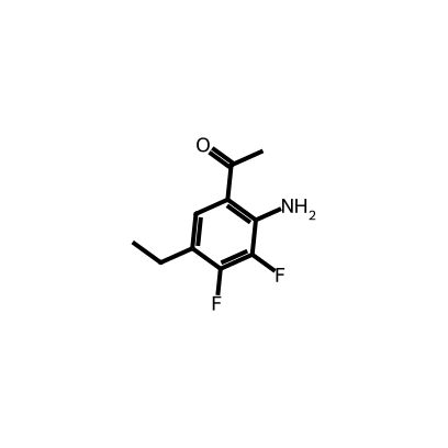 CCc1cc(C(C)=O)c(N)c(F)c1F